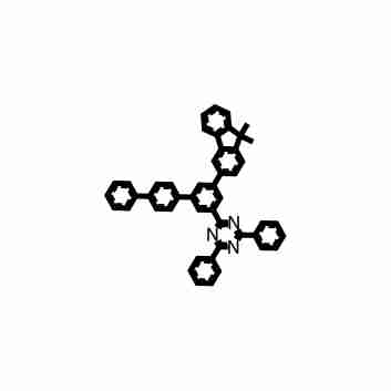 CC1(C)c2ccccc2-c2cc(-c3cc(-c4ccc(-c5ccccc5)cc4)cc(-c4nc(-c5ccccc5)nc(-c5ccccc5)n4)c3)ccc21